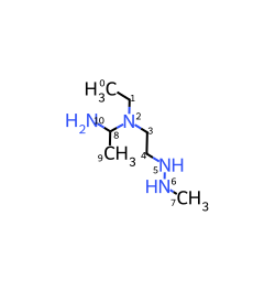 CCN(CCNNC)C(C)N